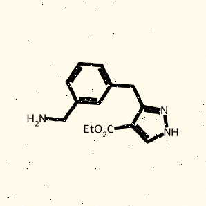 CCOC(=O)c1c[nH]nc1Cc1cccc(CN)c1